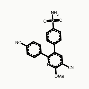 COc1nc(-c2ccc(C#N)cc2)c(-c2ccc(S(N)(=O)=O)cc2)cc1C#N